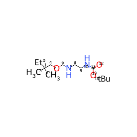 CCC(C)(C)COCNCCNC(=O)OC(C)(C)C